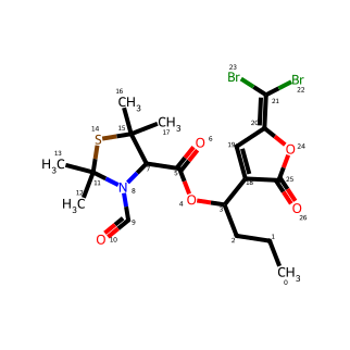 CCCC(OC(=O)C1N(C=O)C(C)(C)SC1(C)C)C1=CC(=C(Br)Br)OC1=O